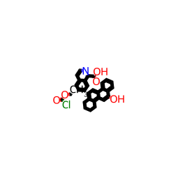 CCOC(=O)Cl.O=C(O)c1nccc2ccccc12.Oc1cc2c3c(ccc2c2ccccc12)CCCC3